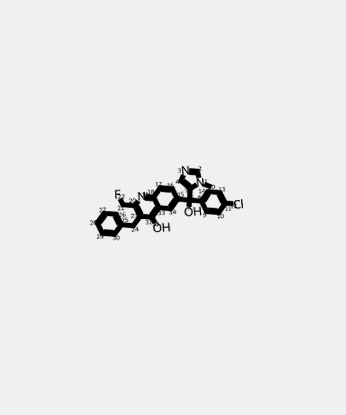 Cn1cncc1C(O)(c1ccc(Cl)cc1)c1ccc2nc(CF)c(Cc3ccccc3)c(O)c2c1